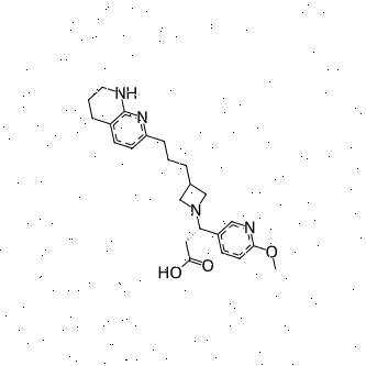 COc1ccc([C@H](CC(=O)O)N2CC(CCCc3ccc4c(n3)NCCC4)C2)cn1